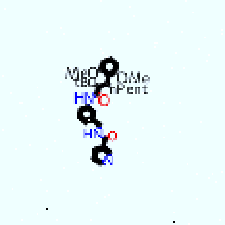 CCCCCC(c1c(OC)cccc1OC)C(C(=O)Nc1cccc(CNC(=O)c2cccnc2)c1)C(C)(C)C